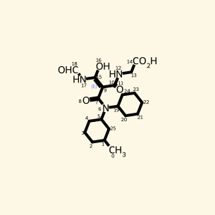 CC1CCCC(N(C(=O)/C(C(=O)NCC(=O)O)=C(/O)NC=O)C2CCCCC2)C1